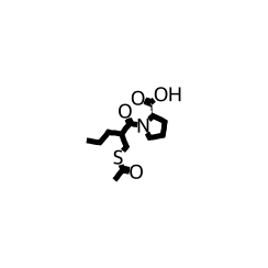 CCCC(CSC(C)=O)C(=O)N1CCC[C@H]1C(=O)O